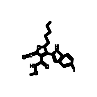 CCCCCC1OC(=C=O)C(C(=O)NOC)=C1c1cc2cc(I)ccc2[nH]1